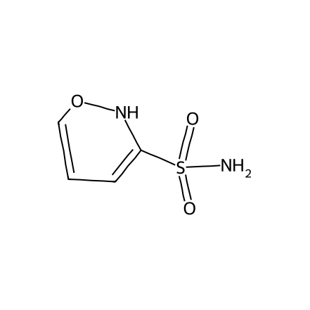 NS(=O)(=O)C1=CC=CON1